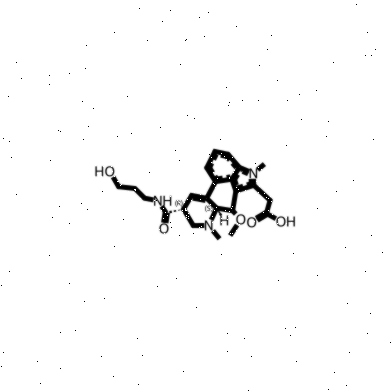 COC1c2c(CC(=O)O)n(C)c3cccc(c23)C2=C[C@@H](C(=O)NCCCO)CN(C)[C@@H]21